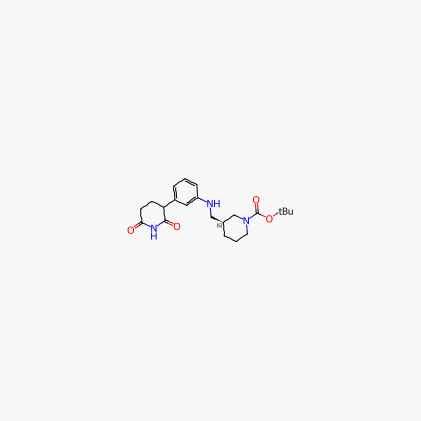 CC(C)(C)OC(=O)N1CCC[C@@H](CNc2cccc(C3CCC(=O)NC3=O)c2)C1